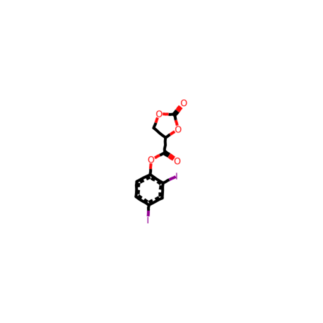 O=C1OCC(C(=O)Oc2ccc(I)cc2I)O1